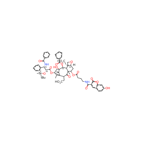 CC1=C2C(CC(=O)O)C(=O)C3(C)C(OC(=O)CCCNC(=O)c4cc5ccc(O)cc5oc4=O)C[C@@H]4OC[C@]4(CC(=O)O)C3[C@H](OC(=O)c3ccccc3)C(O)(CC1OC(=O)[C@H](O[Si](C)(C)C(C)(C)C)[C@@H](NC(=O)c1ccccc1)c1ccccc1)C2(C)C